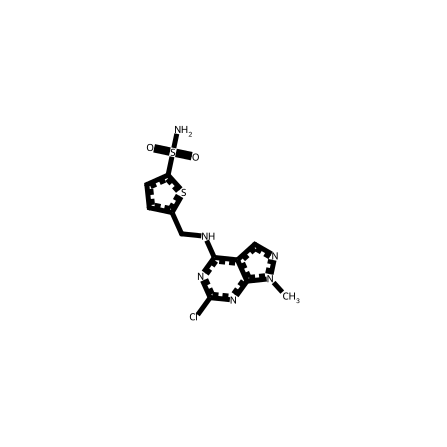 Cn1ncc2c(NCc3ccc(S(N)(=O)=O)s3)nc(Cl)nc21